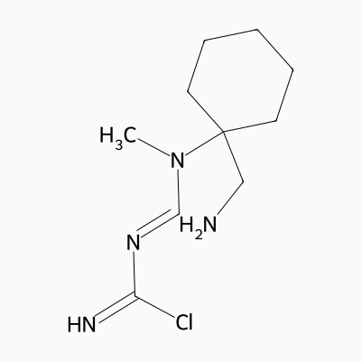 CN(/C=N/C(=N)Cl)C1(CN)CCCCC1